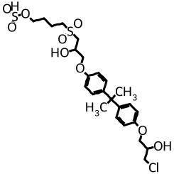 CC(C)(c1ccc(OCC(O)CCl)cc1)c1ccc(OCC(O)CS(=O)(=O)CCCCO[SH](=O)=O)cc1